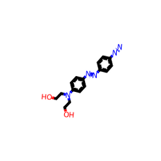 N#[N+]c1ccc(/N=N/c2ccc(N(CCO)CCO)cc2)cc1